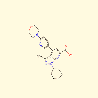 Cc1nn(C2CCCCC2)c2nc(C(=O)O)cc(-c3ccc(N4CCOCC4)nc3)c12